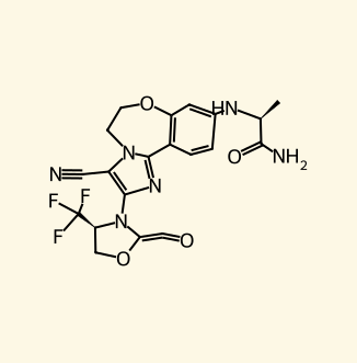 C[C@H](Nc1ccc2c(c1)OCCn1c-2nc(N2C(=C=O)OC[C@H]2C(F)(F)F)c1C#N)C(N)=O